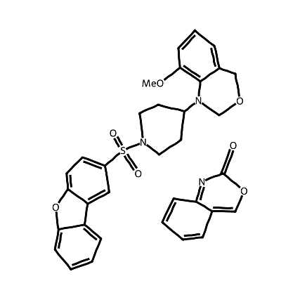 COc1cccc2c1N(C1CCN(S(=O)(=O)c3ccc4oc5ccccc5c4c3)CC1)COC2.O=c1nc2ccccc2co1